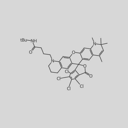 CC1=CC(C)(C)N(C)c2cc3c(cc21)C1(OC(=O)c2c(Cl)c(Cl)c(Cl)c(Cl)c21)c1cc2c(cc1O3)N(CCCC(=O)NC(C)(C)C)CCC2